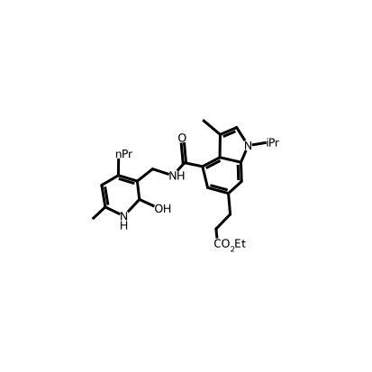 CCCC1=C(CNC(=O)c2cc(CCC(=O)OCC)cc3c2c(C)cn3C(C)C)C(O)NC(C)=C1